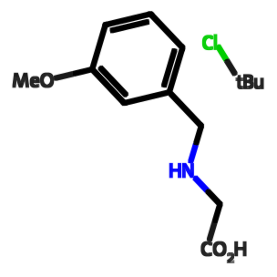 CC(C)(C)Cl.COc1cccc(CNCC(=O)O)c1